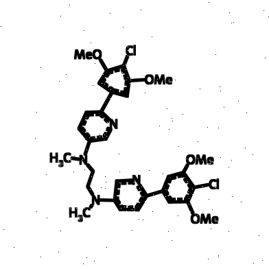 COc1cc(-c2ccc(N(C)CCN(C)c3ccc(-c4cc(OC)c(Cl)c(OC)c4)nc3)cn2)cc(OC)c1Cl